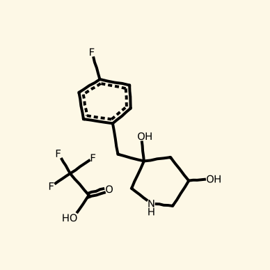 O=C(O)C(F)(F)F.OC1CNCC(O)(Cc2ccc(F)cc2)C1